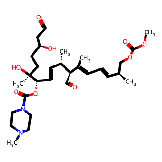 COC(=O)OC[C@@H](C)/C=C/C=C(\C)[C@@H](C=O)[C@@H](C)/C=C/[C@H](OC(=O)N1CCN(C)CC1)[C@@](C)(O)CC[C@H](O)CC=O